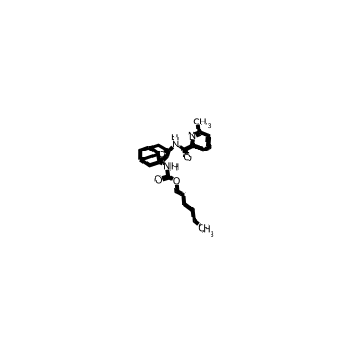 CCCCCCOC(=O)NC12CC3CC(C1)CC(NC(=O)c1cccc(C)n1)(C3)C2